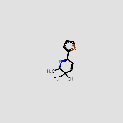 CC1N=C(c2cccs2)C=CC1(C)C